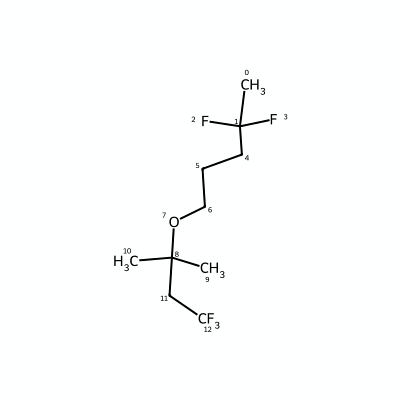 CC(F)(F)CCCOC(C)(C)CC(F)(F)F